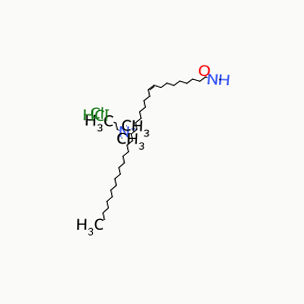 CCCCCCCCCCCCCCCCC(CCCCCCC/C=C\CCCCCCCC([NH])=O)[N+](C)(C)CCC.Cl.[Cl-]